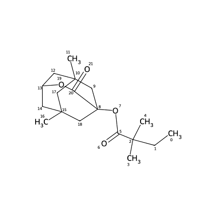 CCC(C)(C)C(=O)OC12CC3(C)CC(CC(C)(C3)C1)OC2=O